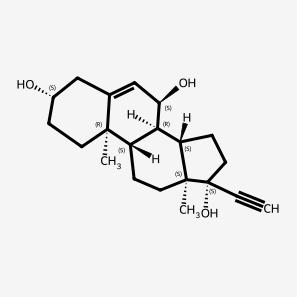 C#C[C@]1(O)CC[C@H]2[C@@H]3[C@H](O)C=C4C[C@@H](O)CC[C@]4(C)[C@H]3CC[C@@]21C